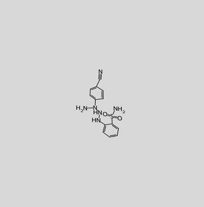 N#Cc1ccc(N(N)NNc2ccccc2S(N)(=O)=O)cc1